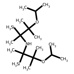 CC(C)OC(C)(C)C(C)([SiH3])NC(C)([SiH3])C(C)(C)OC(C)C